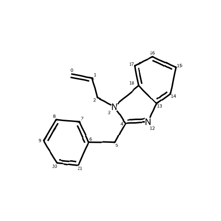 C=CCn1c(Cc2ccccc2)nc2ccccc21